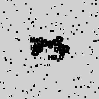 COc1cc(CC(=O)N(CCN(Cc2ccccc2)C(=O)NCC(C)C(=O)O)Cc2ccccc2)ccc1NC(=O)Nc1ccccc1C